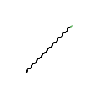 C=CCCCCCCCCCCCCCCCCF